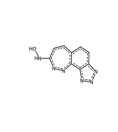 ONc1ccc2ccc3nnnc3c2nn1